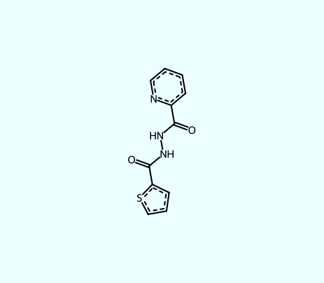 O=C(NNC(=O)c1cccs1)c1ccccn1